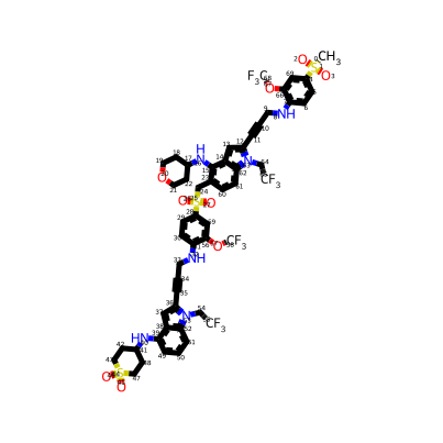 CS(=O)(=O)c1ccc(NCC#Cc2cc3c(NC4CCOCC4)c(CS(=O)(=O)c4ccc(NCC#Cc5cc6c(NC7CCS(=O)(=O)CC7)cccc6n5CC(F)(F)F)c(OC(F)(F)F)c4)ccc3n2CC(F)(F)F)c(OC(F)(F)F)c1